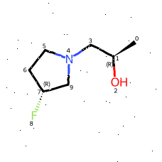 C[C@@H](O)CN1CC[C@@H](F)C1